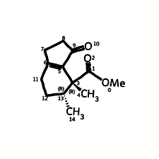 COC(=O)[C@@]1(C)C2=C(CCC2=O)CC[C@H]1C